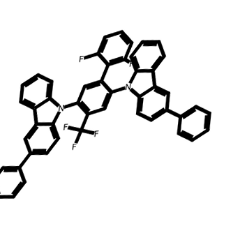 Fc1cccc(F)c1-c1cc(-n2c3ccccc3c3cc(-c4ccccc4)ccc32)c(C(F)(F)F)cc1-n1c2ccccc2c2cc(-c3ccccc3)ccc21